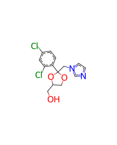 OCC1COC(Cn2ccnc2)(c2ccc(Cl)cc2Cl)O1